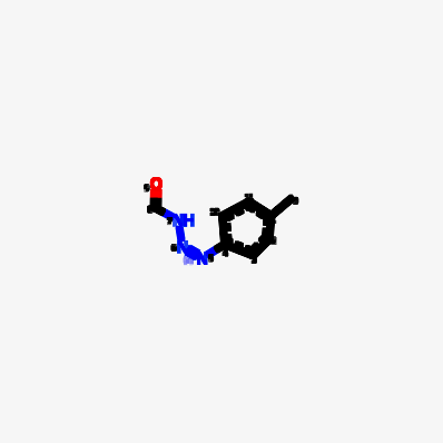 Cc1ccc(/N=N\NC=O)cc1